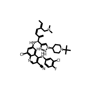 C=C(/C=C\C(=C/C)CN(C)C)[C@H](Nc1cc(Cl)c2ncc(C#N)c(Nc3ccc(F)c(Cl)c3)c2c1)C1=CN(C2CCN(C(C)(C)C)CC2)NN1